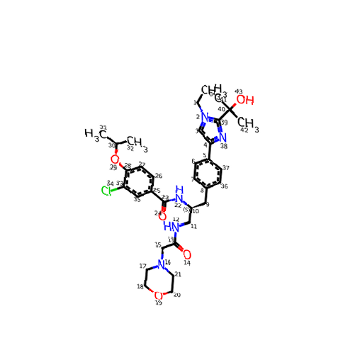 CCn1cc(-c2ccc(C[C@@H](CNC(=O)CN3CCOCC3)NC(=O)c3ccc(OC(C)C)c(Cl)c3)cc2)nc1C(C)(C)O